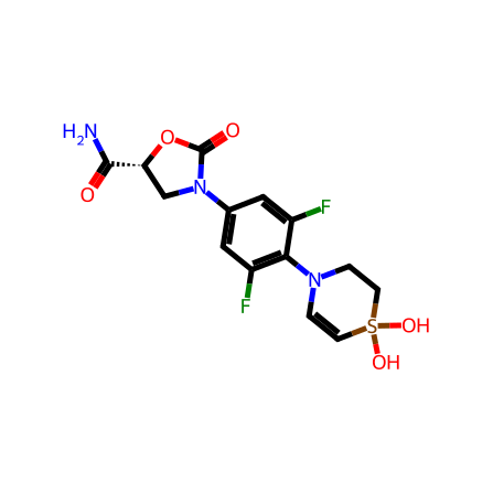 NC(=O)[C@H]1CN(c2cc(F)c(N3C=CS(O)(O)CC3)c(F)c2)C(=O)O1